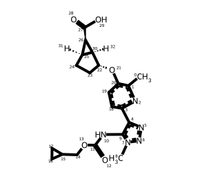 Cc1nc(-c2nnn(C)c2NC(=O)OCC2CC2)ccc1O[C@@H]1CC[C@H]2[C@@H](C(=O)O)[C@H]21